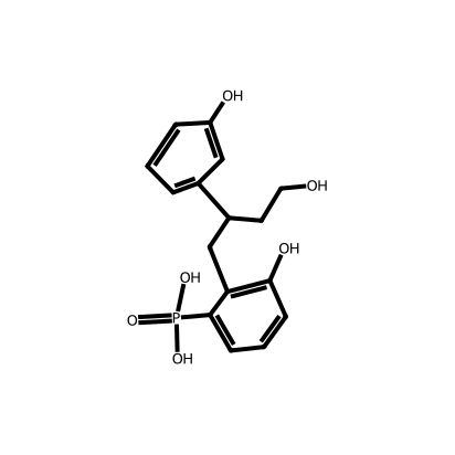 O=P(O)(O)c1cccc(O)c1CC(CCO)c1cccc(O)c1